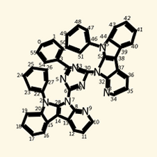 c1ccc(-c2nc(-n3c4ncccc4c4c5ccccc5n(-c5ccccc5)c43)nc(-n3c4ncccc4c4c5ccccc5n(-c5ccccc5)c43)n2)cc1